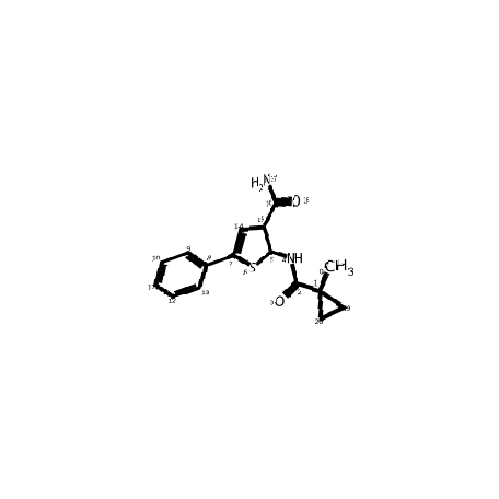 CC1(C(=O)NC2SC(c3ccccc3)=CC2C(N)=O)CC1